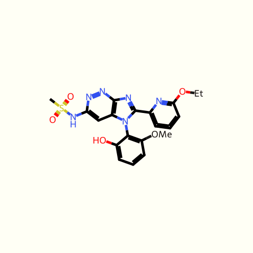 CCOC1=NC(c2nc3nnc(NS(C)(=O)=O)cc3n2-c2c(O)cccc2OC)=C=C=C1